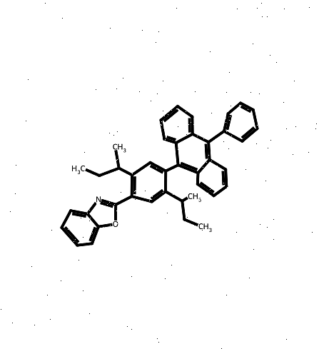 CCC(C)c1cc(-c2c3ccccc3c(-c3ccccc3)c3ccccc23)c(C(C)CC)cc1-c1nc2ccccc2o1